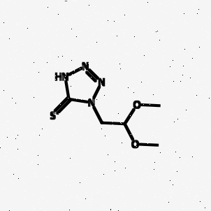 COC(Cn1nn[nH]c1=S)OC